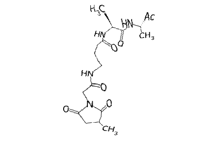 CC(=O)[C@H](C)NC(=O)[C@H](C)NC(=O)CCNC(=O)CN1C(=O)CC(C)C1=O